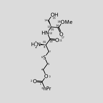 CCCC(=O)OCCSC[C@@H](N)C(=O)N[C@@H](CO)C(=O)OC